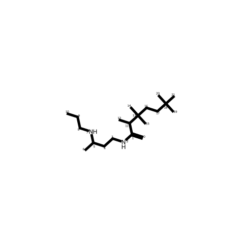 C=C(NCCC(C)NCCC)C(C)C(C)(C)CCC(C)(C)C